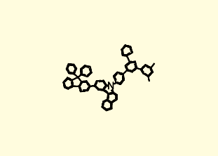 Cc1cc(C)cc(-c2cc(-c3ccccc3)cc(-c3ccc(-n4c5ccc(-c6ccc7c(c6)C(c6ccccc6)(c6ccccc6)c6ccccc6-7)cc5c5c6ccccc6ccc54)cc3)c2)c1